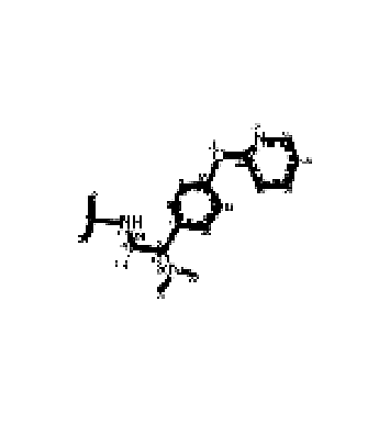 CC(C)N[C@@H](C)[C@H](c1ccc(Oc2ccccn2)cc1)N(C)C